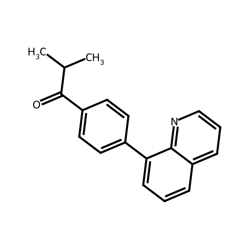 CC(C)C(=O)c1ccc(-c2cccc3cccnc23)cc1